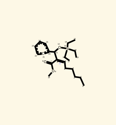 CCCCC/C=C(\C(=O)OC)C(O[Si](CC)(CC)CC)c1ccccc1